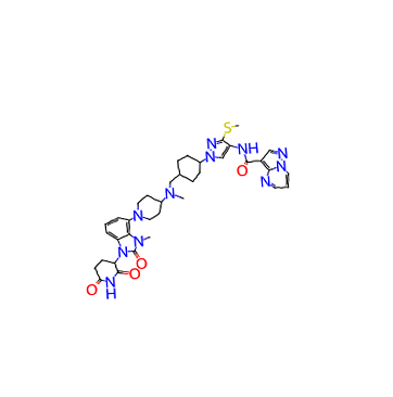 CSc1nn(C2CCC(CN(C)C3CCN(c4cccc5c4n(C)c(=O)n5C4CCC(=O)NC4=O)CC3)CC2)cc1NC(=O)c1cnn2cccnc12